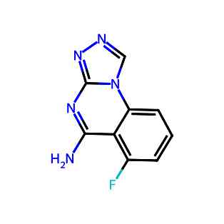 Nc1nc2nncn2c2cccc(F)c12